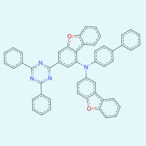 c1ccc(-c2ccc(N(c3ccc4oc5ccccc5c4c3)c3cc(-c4nc(-c5ccccc5)nc(-c5ccccc5)n4)cc4oc5ccccc5c34)cc2)cc1